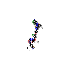 Cc1ncsc1-c1ccc(CNC(=O)C2CCCN2C(=O)C(NC(=O)c2ccc(COc3ccc(-c4ccc(N5C(=S)N(c6ccc(C#N)c(C(F)(F)F)c6F)C(=O)C5(C)C)cn4)cc3)c(F)c2)C(C)(C)C)cc1